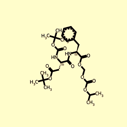 CC(C)OC(=O)OCOC(=O)[C@H](Cc1ccccc1)NC(=O)[C@H](CC(=O)OC(C)(C)C)NC(=O)OC(C)(C)C